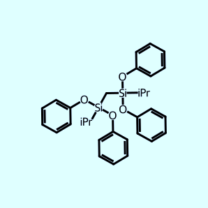 CC(C)[Si](C[Si](Oc1ccccc1)(Oc1ccccc1)C(C)C)(Oc1ccccc1)Oc1ccccc1